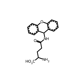 NC(CCC(=O)NC1c2ccccc2Oc2ccccc21)C(=O)O